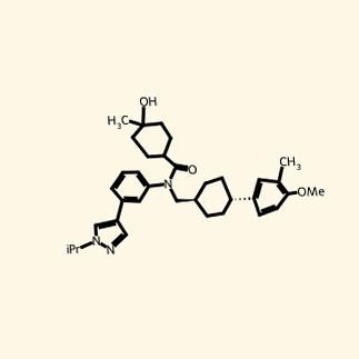 COc1ccc([C@H]2CC[C@H](CN(C(=O)C3CCC(C)(O)CC3)c3cccc(-c4cnn(C(C)C)c4)c3)CC2)cc1C